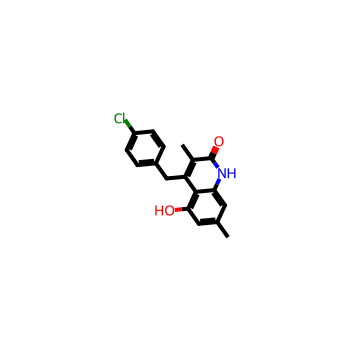 Cc1cc(O)c2c(Cc3ccc(Cl)cc3)c(C)c(=O)[nH]c2c1